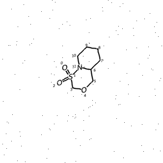 O=S1(=O)COCC2CCCCN21